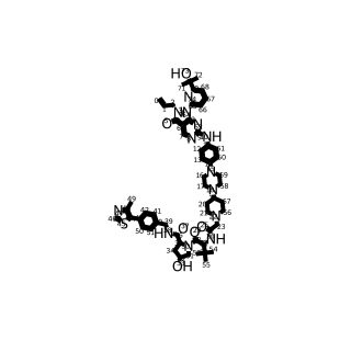 C=CCn1c(=O)c2cnc(Nc3ccc(N4CCN(C5CCN(CC(=O)N[C@H](C(=O)N6CC(O)CC6C(=O)NCc6ccc(-c7scnc7C)cc6)C(C)(C)C)CC5)CC4)cc3)nc2n1-c1cccc(C(C)(C)O)n1